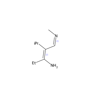 CC/C(N)=C(/C=N\C)C(C)C